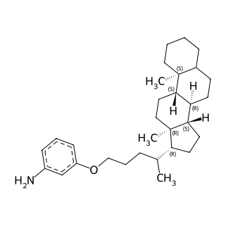 CC(CCCOc1cccc(N)c1)[C@H]1CC[C@H]2[C@@H]3CCC4CCCC[C@]4(C)[C@H]3CC[C@]12C